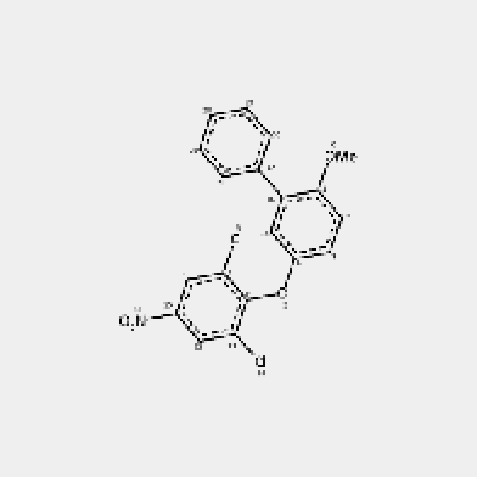 COc1ccc(Oc2c(Cl)cc([N+](=O)[O-])cc2Cl)cc1-c1cc[c]cc1